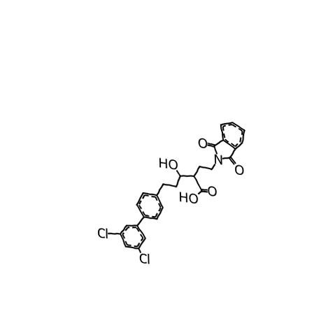 O=C(O)C(CCN1C(=O)c2ccccc2C1=O)C(O)CCc1ccc(-c2cc(Cl)cc(Cl)c2)cc1